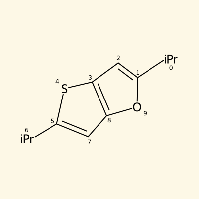 CC(C)c1cc2sc(C(C)C)cc2o1